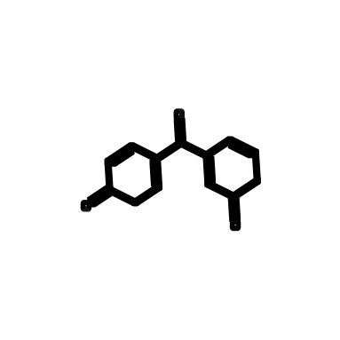 O=C1C=CC(C(=O)C2=CC(=O)CC=C2)=CC1